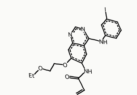 C=CC(=O)Nc1cc2c(Nc3cccc(I)c3)ncnc2cc1OCCOCC